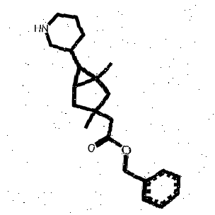 CC1(CC(=O)OCc2ccccc2)CC2C(C3CCCNC3)C2(C)C1